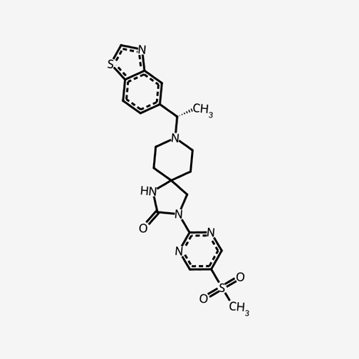 C[C@@H](c1ccc2scnc2c1)N1CCC2(CC1)CN(c1ncc(S(C)(=O)=O)cn1)C(=O)N2